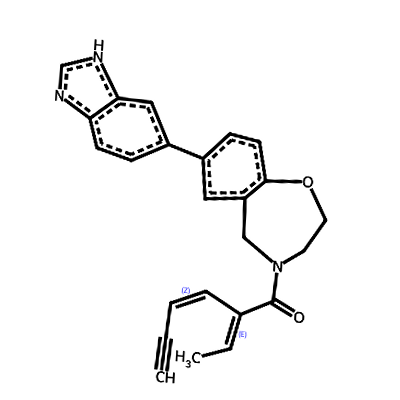 C#C/C=C\C(=C/C)C(=O)N1CCOc2ccc(-c3ccc4nc[nH]c4c3)cc2C1